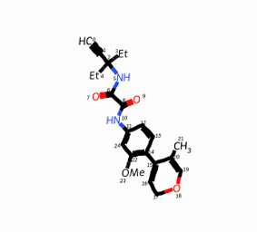 C#CC(CC)(CC)NC(=O)C(=O)Nc1ccc(C2=CCOC=C2C)c(OC)c1